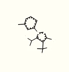 Cc1cccc(-n2nc(O)c(C(C)(C)C)c2C(C)C)c1